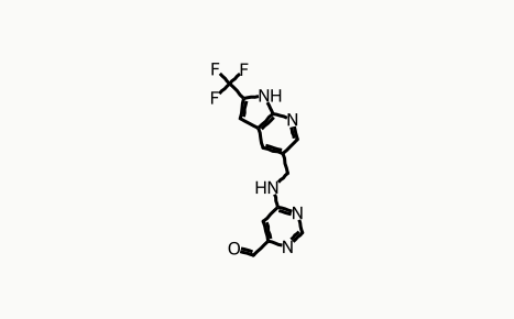 O=Cc1cc(NCc2cnc3[nH]c(C(F)(F)F)cc3c2)ncn1